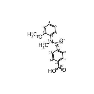 COc1ccccc1N(C)[S+]([O-])c1ccc(C(=O)O)cc1